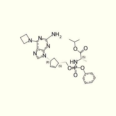 CC(C)OC(=O)[C@H](C)N[P@@](=O)(OC[C@@H]1C=C[C@H](n2cnc3c(N4CCC4)nc(N)nc32)C1)Oc1ccccc1